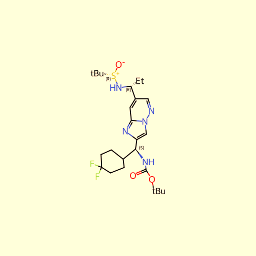 CC[C@@H](N[S@@+]([O-])C(C)(C)C)c1cnn2cc([C@@H](NC(=O)OC(C)(C)C)C3CCC(F)(F)CC3)nc2c1